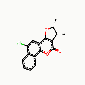 C[C@@H]1c2c(c3cc(Cl)c4ccccc4c3oc2=O)O[C@@H]1C